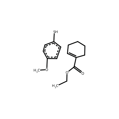 CCOC(=O)C1=CCCCC1.COc1ccc(S)cc1